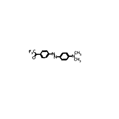 CN(C)c1ccc(/N=N/c2ccc(C(=O)C(F)(F)F)cc2)cc1